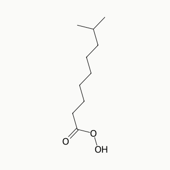 CC(C)CCCCCCC(=O)OO